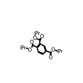 CC(C)OC(=O)c1ccc(C(=O)OC(C)C)c(C(=O)OC(C)C)c1